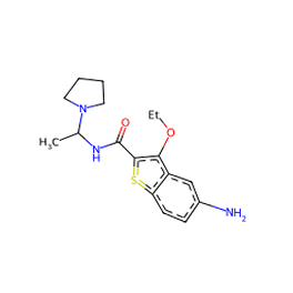 CCOc1c(C(=O)NC(C)N2CCCC2)sc2ccc(N)cc12